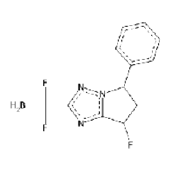 BC(F)(F)c1nc2n(n1)C(c1ccccc1)CC2F